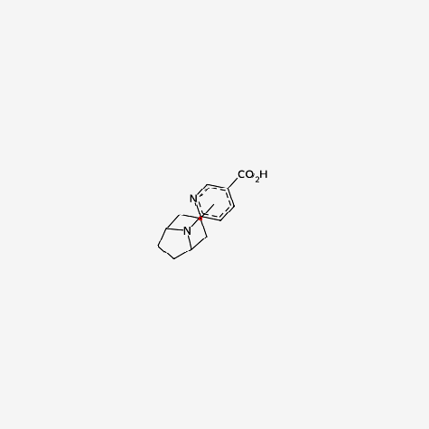 CC1CC2CCC(C1)N2c1ccc(C(=O)O)cn1